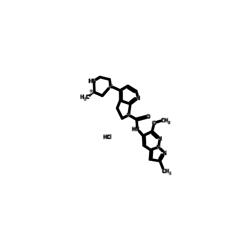 COc1nn2nc(C)cc2cc1NC(=O)N1CCc2c(N3CCN[C@@H](C)C3)ccnc21.Cl